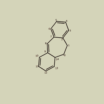 [C]1Cc2ccccc2C=C2C=CC=CC12